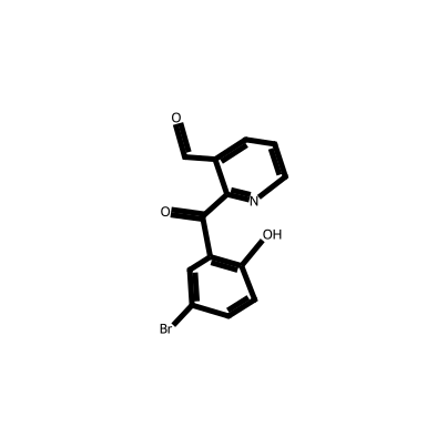 O=Cc1cccnc1C(=O)c1cc(Br)ccc1O